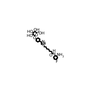 Nc1cc(F)ccc1NC(=O)CCCCCCn1cc(-c2ccc(O[C@H]3O[C@H](CO)[C@@H](O)[C@H](O)[C@H]3O)cc2)nn1